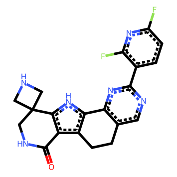 O=C1NCC2(CNC2)c2[nH]c3c(c21)CCc1cnc(-c2ccc(F)nc2F)nc1-3